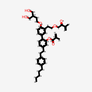 C=C(C)C(=O)COCCc1cc(-c2ccc(CCc3ccc(CCCCC)cc3)cc2OC(=O)C(=C)C)ccc1OCCC(CO)CO